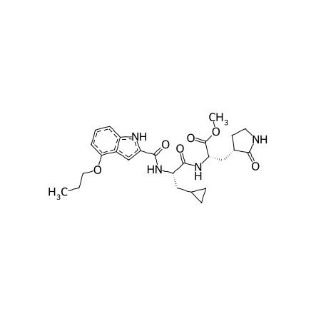 CCCOc1cccc2[nH]c(C(=O)N[C@@H](CC3CC3)C(=O)N[C@@H](C[C@@H]3CCNC3=O)C(=O)OC)cc12